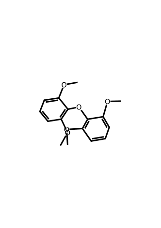 COc1cccc(OC)c1Oc1c(OC)cccc1OC